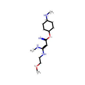 CN/C(=C\C(=N)OC1CCC(NC)CC1)NCCOC